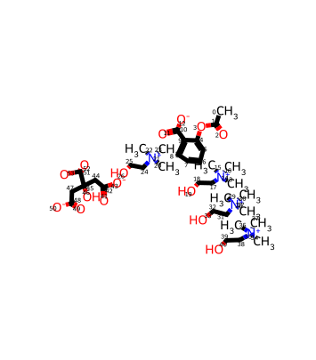 CC(=O)Oc1ccccc1C(=O)[O-].C[N+](C)(C)CCO.C[N+](C)(C)CCO.C[N+](C)(C)CCO.C[N+](C)(C)CCO.O=C([O-])CC(O)(CC(=O)[O-])C(=O)[O-]